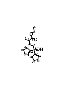 CCOC(=O)C(C)=CCC(O)(C1=CCCC1)C1=CCCC1